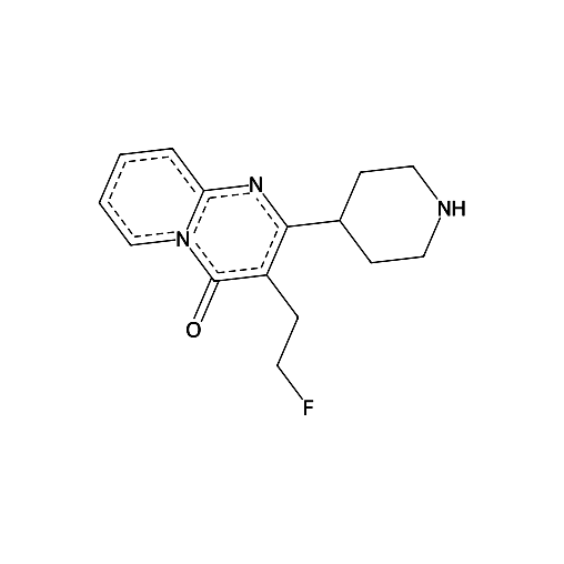 O=c1c(CCF)c(C2CCNCC2)nc2ccccn12